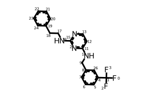 FC(F)(F)c1cccc(CNc2ccnc(NCCc3ccccc3)n2)c1